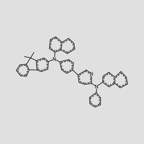 CC1(C)c2ccccc2-c2ccc(N(c3ccc(-c4ccc(N(c5ccccc5)c5ccc6ccccc6c5)nc4)cc3)c3cccc4ccccc34)cc21